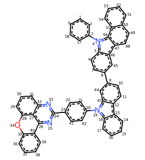 c1ccc(-n2c3ccc(-c4ccc5c6ccccc6n(-c6ccc(-c7nc8c9c(cccc9n7)Oc7ccccc7-8)cc6)c5c4)cc3c3ccc4ccccc4c32)cc1